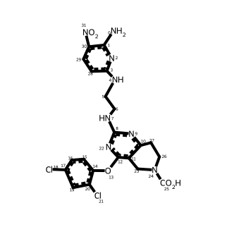 Nc1nc(NCCNc2nc3c(c(Oc4ccc(Cl)cc4Cl)n2)CN(C(=O)O)CC3)ccc1[N+](=O)[O-]